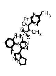 Cc1cnc([C@H](OC(C)C)[C@H](C)S(=O)(=O)Nc2nnc(-c3cnn4c3CCC4)n2-c2c(F)cccc2F)cn1